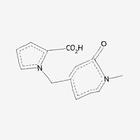 Cn1ccc(Cn2cccc2C(=O)O)cc1=O